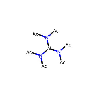 CC(=O)[N](C(C)=O)[Al]([N](C(C)=O)C(C)=O)[N](C(C)=O)C(C)=O